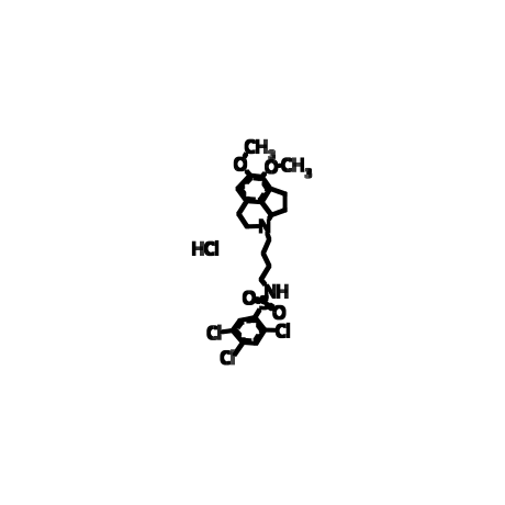 COc1cc2c3c(c1OC)CCC3N(CCCCNS(=O)(=O)c1cc(Cl)c(Cl)cc1Cl)CC2.Cl